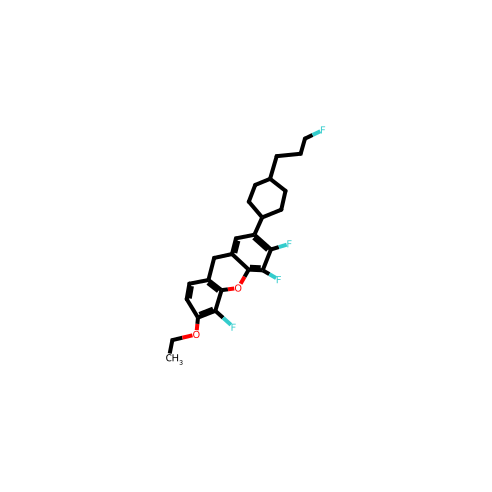 CCOc1ccc2c(c1F)Oc1c(cc(C3CCC(CCCF)CC3)c(F)c1F)C2